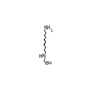 CCC(C)CCNCCCCCCCCCCN